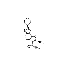 NC(=O)c1c(N)sc2c1CCc1nn(C3CCCCC3)cc1-2